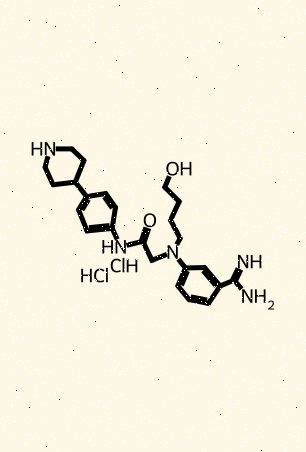 Cl.Cl.N=C(N)c1cccc(N(CCCCO)CC(=O)Nc2ccc(C3CCNCC3)cc2)c1